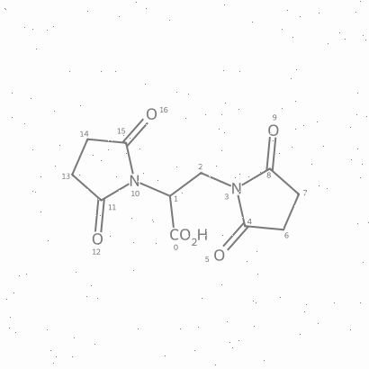 O=C(O)C(CN1C(=O)CCC1=O)N1C(=O)CCC1=O